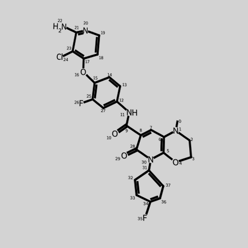 CN1CCOc2c1cc(C(=O)Nc1ccc(Oc3ccnc(N)c3Cl)c(F)c1)c(=O)n2-c1ccc(F)cc1